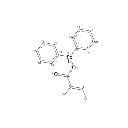 CC=C(C)C(=O)[O][PbH]([c]1ccccc1)[c]1ccccc1